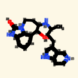 CC(CCc1c[nH]c2ccncc12)NC1CCn2c(=O)[nH]c3cccc(c32)C1O